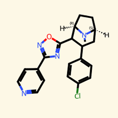 CN1[C@H]2CC[C@@H]1C(c1nc(-c3ccncc3)no1)C(c1ccc(Cl)cc1)C2